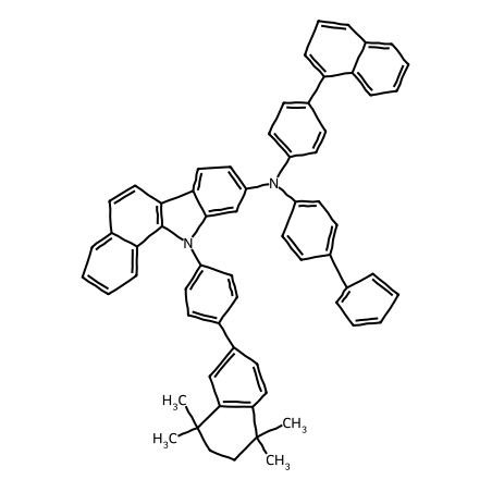 CC1(C)CCC(C)(C)c2cc(-c3ccc(-n4c5cc(N(c6ccc(-c7ccccc7)cc6)c6ccc(-c7cccc8ccccc78)cc6)ccc5c5ccc6ccccc6c54)cc3)ccc21